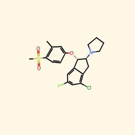 Cc1cc(O[C@H]2c3cc(F)cc(Cl)c3C[C@@H]2N2CCCC2)ccc1S(C)(=O)=O